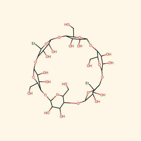 CCC1OC2OC3C(CO)OC(OC4C(CO)OC(OC5C(CC)OC(OC6C(CO)OC(OC7C(CO)OC(OC1C(O)C2O)C(O)C7O)C(O)C6O)C(O)C5O)C(O)C4O)C(O)C3O